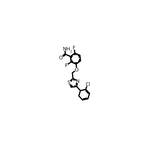 NC(=O)c1c(F)ccc(OCc2nc(C3CC=CC=C3Cl)cs2)c1F